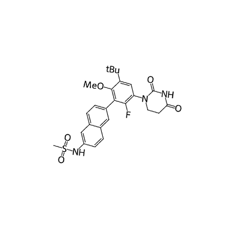 COc1c(C(C)(C)C)cc(N2CCC(=O)NC2=O)c(F)c1-c1ccc2cc(NS(C)(=O)=O)ccc2c1